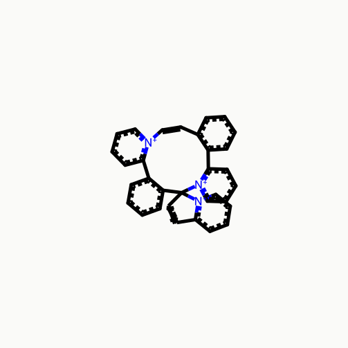 C1=C[n+]2ccccc2-c2ccccc2C2(c3ccccc3-c3cccc[n+]32)[n+]2ccccc2-c2ccccc21